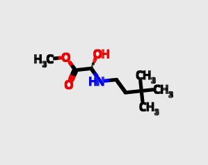 COC(=O)[C@H](O)NCCC(C)(C)C